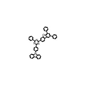 c1ccc(-c2cc(-c3ccccc3)c3oc4cc(-c5nc(-c6ccccc6)nc(-c6ccc(-n7c8ccccc8c8ccccc87)cc6)n5)ccc4c3c2)cc1